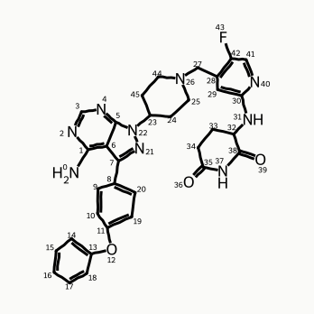 Nc1ncnc2c1c(-c1ccc(Oc3ccccc3)cc1)nn2C1CCN(Cc2cc(NC3CCC(=O)NC3=O)ncc2F)CC1